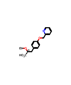 CCO[C@@H](Cc1ccc(OCc2ccccn2)cc1)C(=O)O